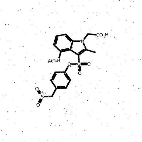 CC(=O)Nc1cccc2c1c(S(=O)(=O)Oc1ccc(C[SH](=O)=O)cc1)c(C)n2CC(=O)O